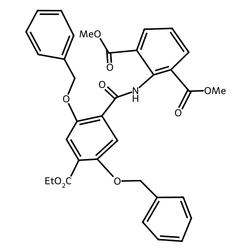 CCOC(=O)c1cc(OCc2ccccc2)c(C(=O)Nc2c(C(=O)OC)cccc2C(=O)OC)cc1OCc1ccccc1